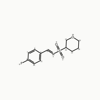 O=S(=O)(N=Cc1ccc(F)cc1)C1CCCOC1